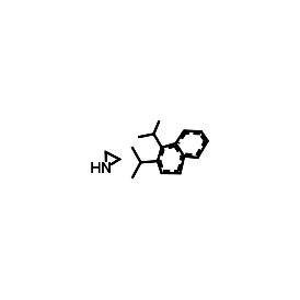 C1CN1.CC(C)c1ccc2ccccc2c1C(C)C